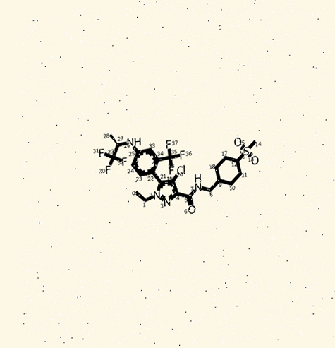 CCn1nc(C(=O)NCC2CCC(S(C)(=O)=O)CC2)c(Cl)c1-c1ccc(N[C@H](C)C(F)(F)F)cc1C(F)(F)F